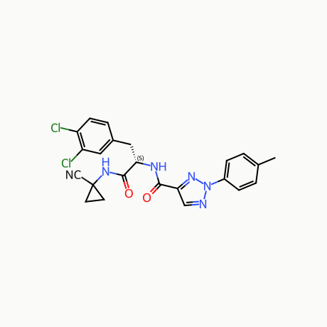 Cc1ccc(-n2ncc(C(=O)N[C@@H](Cc3ccc(Cl)c(Cl)c3)C(=O)NC3(C#N)CC3)n2)cc1